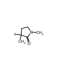 CN1CCC(C)(I)C1=O